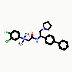 C[N+](C)(CC(=O)NC(CN1CCCC1)c1ccc(-c2ccccc2)cc1)c1ccc(Cl)c(Cl)c1